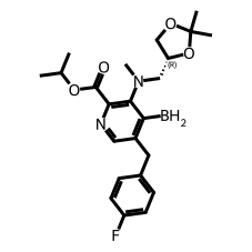 Bc1c(Cc2ccc(F)cc2)cnc(C(=O)OC(C)C)c1N(C)C[C@@H]1COC(C)(C)O1